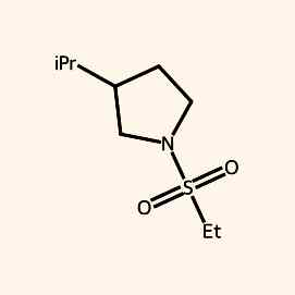 CCS(=O)(=O)N1CCC(C(C)C)C1